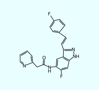 O=C(Cc1ccccn1)Nc1cc2c(C=Cc3ccc(F)cc3)n[nH]c2cc1F